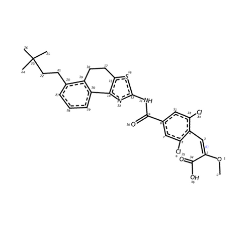 CO/C(=C/c1c(Cl)cc(C(=O)Nc2nc3c(s2)CCc2c(CCC(C)(C)C)cccc2-3)cc1Cl)C(=O)O